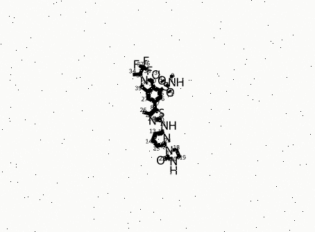 CNS(=O)(=O)c1cc(-c2sc(Nc3cccc(N4CCNC4=O)n3)nc2C)cc2c1C(=O)N(C(C)C(F)(F)F)C2